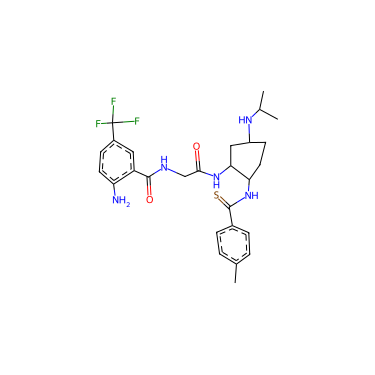 Cc1ccc(C(=S)NC2CCC(NC(C)C)CC2NC(=O)CNC(=O)c2cc(C(F)(F)F)ccc2N)cc1